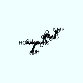 CNCC(=O)N(C)CC(=O)N(C)CC(=O)N(C)CC(=O)N(C)CC(=O)N(C)CC(=O)N(C)CC(=O)NCCN(CCCCC(O)CO)CCCCC(O)CO